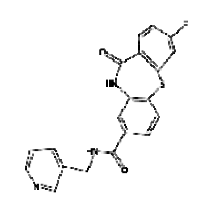 O=C(NCc1cccnc1)c1ccc2c(c1)NC(=O)c1ccc(F)cc1S2